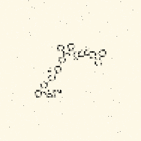 CCCCCCCCC1(CCCCCCC)c2ccccc2-c2ccc(-c3ccc4c(c3)C(C)(C)c3cc(-c5ccc(N(c6ccccc6)c6cc7c(c8ccccc68)-c6cc8c(cc6C7(C)C)-c6cc7c9ccccc9c9ccccc9c7cc6C8(C)C)cc5)ccc3-4)cc21